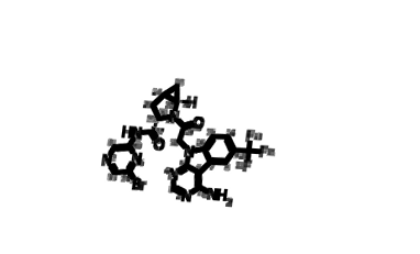 Nc1ncnc2c1c1cc(C(F)(F)F)ccc1n2CC(=O)N1[C@@H]2CC2C[C@H]1C(=O)Nc1cncc(Br)n1